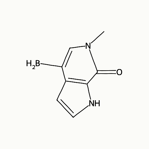 Bc1cn(C)c(=O)c2[nH]ccc12